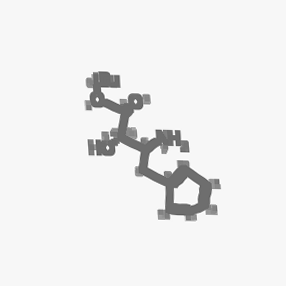 CC(C)(C)OC(=O)[C@@H](O)C(N)Cc1ccccc1